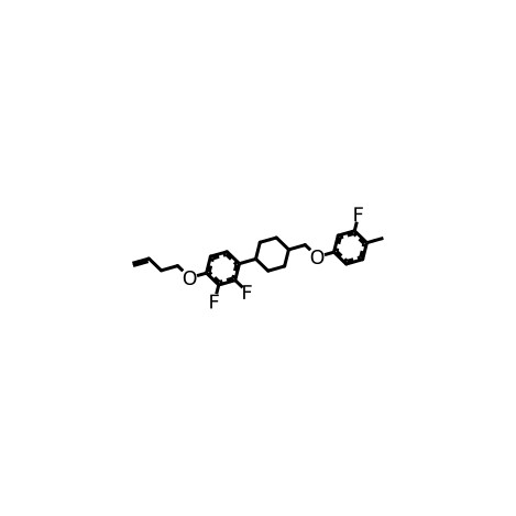 C=CCCOc1ccc(C2CCC(COc3ccc(C)c(F)c3)CC2)c(F)c1F